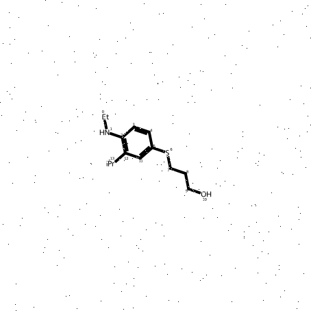 CCNc1ccc(SCCCO)cc1C(C)C